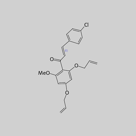 C=CCOc1cc(OC)c(C(=O)/C=C/c2ccc(Cl)cc2)c(OCC=C)c1